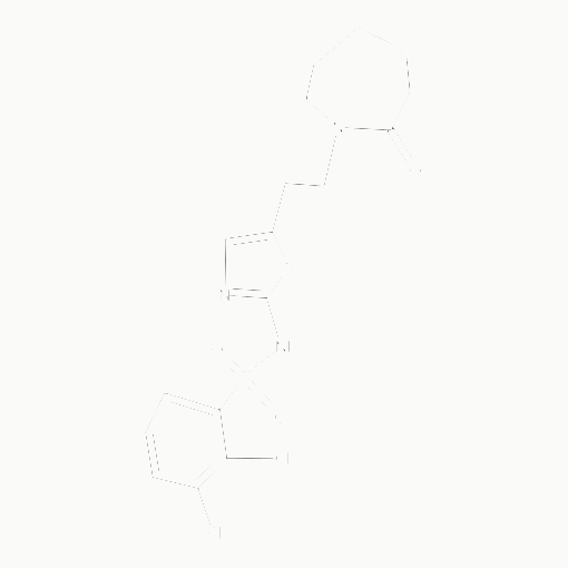 Cc1c(Cl)cccc1S(=O)(=O)Nc1ncc(CCN2CCCOCC2=O)s1